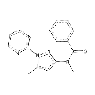 Cc1cc(N(C)C(=O)c2cccnc2)nn1-c1ncccn1